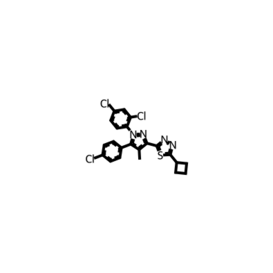 Cc1c(-c2nnc(C3CCC3)s2)nn(-c2ccc(Cl)cc2Cl)c1-c1ccc(Cl)cc1